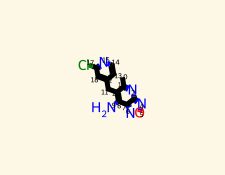 Cc1nc2nonc2c(N)c1Cc1ccnc(Cl)c1